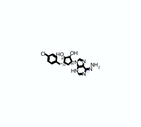 N/N=c1/nc[nH]c2c1ncn2[C@@H]1C[C@H](Cc2ccc(Cl)cc2)[C@@H](O)[C@H]1O